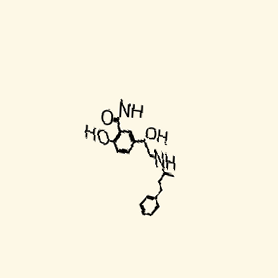 CNC(=O)c1cc(C(O)CNC(C)CCc2ccccc2)ccc1O